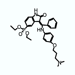 CCOP(=O)(OCC)c1ccc2c(c1)C(=C(Nc1ccc(OCCCN(C)C)cc1)c1ccccc1)C(=O)N2